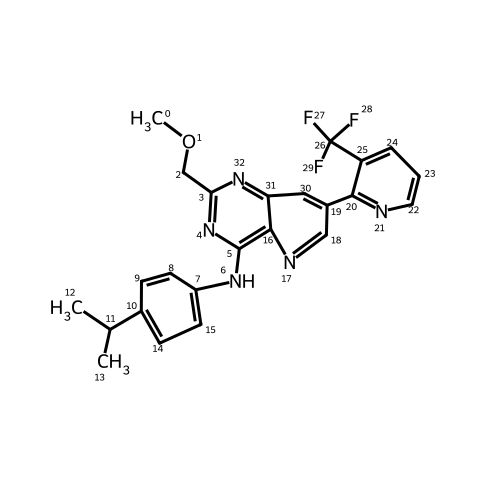 COCc1nc(Nc2ccc(C(C)C)cc2)c2ncc(-c3ncccc3C(F)(F)F)cc2n1